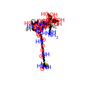 CC(=O)[C@H](CCCNC(=N)N)CC(=O)[C@@H](NC(=O)[C@H](CC(=O)O)CC(=O)C1CCCN1C(=O)[C@H](C)NC(=O)[C@H](CO)CC(=O)[C@@H](NC(=O)C(CC(=O)CNC(=O)[C@@H](CC(=O)CCC(=O)NCCOCCOCCNC(=O)CCCC[C@@H]1SC[C@@H]2NC(=O)N[C@@H]21)Cc1cnc[nH]1)C(C)C)C(C)O)C(C)O[C@H]1OC(CO)[C@H](O)[C@H](O[C@@H]2OC(CO)[C@H](O)[C@H](O)C2O)C1C